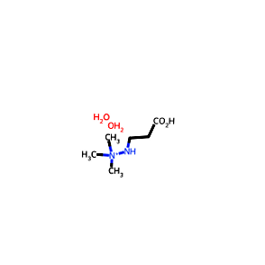 C[N+](C)(C)NCCC(=O)O.O.O